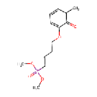 COP(=O)(CCCCOC1=CC=CC(C)C1=O)OC